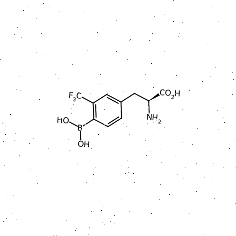 N[C@@H](Cc1ccc(B(O)O)c(C(F)(F)F)c1)C(=O)O